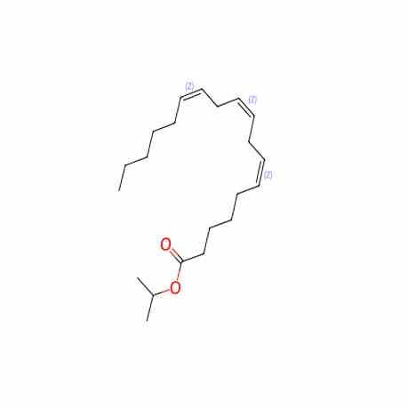 CCCCC/C=C\C/C=C\C/C=C\CCCCC(=O)OC(C)C